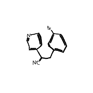 N#CC(Cc1cccc(Br)c1)c1ccncc1